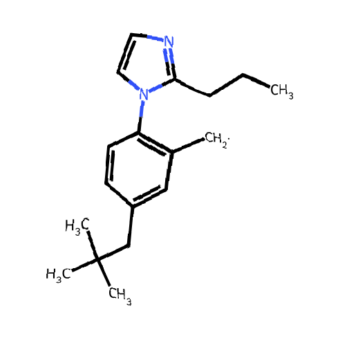 [CH2]c1cc(CC(C)(C)C)ccc1-n1ccnc1CCC